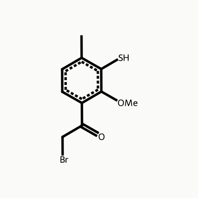 COc1c(C(=O)CBr)ccc(C)c1S